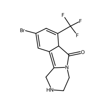 O=C1C2C(C(F)(F)F)=CC(Br)=CC2=C2CNCCN12